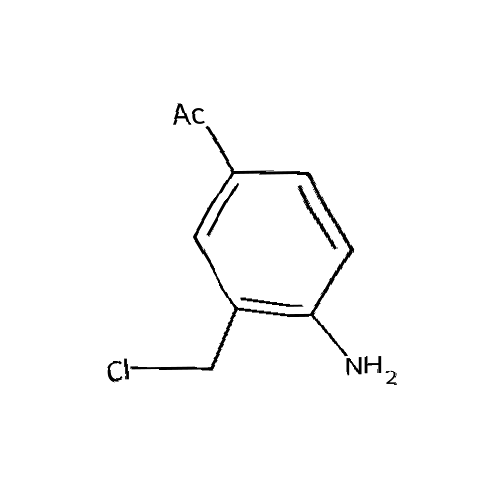 CC(=O)c1ccc(N)c(CCl)c1